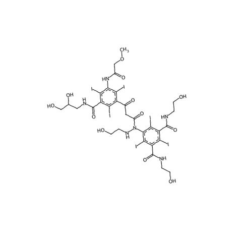 COCC(=O)Nc1c(I)c(C(=O)CC(=O)N(NCCO)c2c(I)c(C(=O)NCCO)c(I)c(C(=O)NCCO)c2I)c(I)c(C(=O)NCC(O)CO)c1I